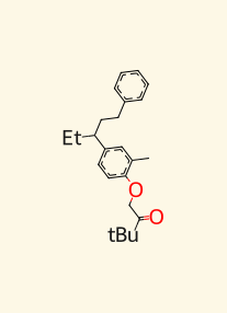 CCC(CCc1ccccc1)c1ccc(OCC(=O)C(C)(C)C)c(C)c1